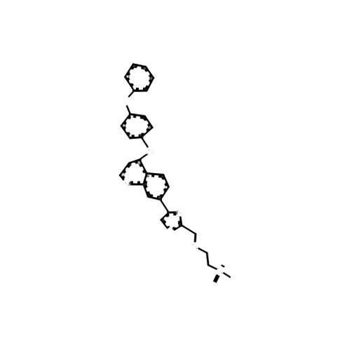 CS(=O)(=O)CCNCc1nc(-c2ccc3c(Nc4ccc(Oc5ccccc5)cc4)ccnc3c2)cs1